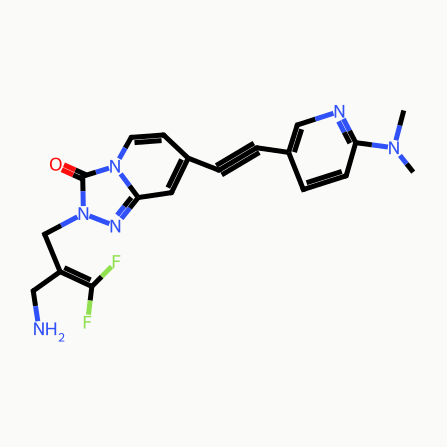 CN(C)c1ccc(C#Cc2ccn3c(=O)n(CC(CN)=C(F)F)nc3c2)cn1